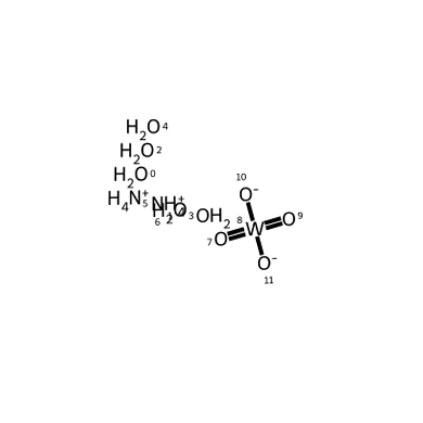 O.O.O.O.O.[NH4+].[NH4+].[O]=[W](=[O])([O-])[O-]